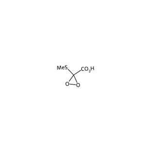 CSC1(C(=O)O)OO1